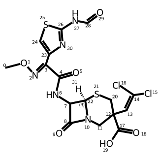 CON=C(C(=O)NC1C(=O)N2CC(C=C(Cl)Cl)(C(=O)O)CS[C@H]12)c1csc(NC=O)n1